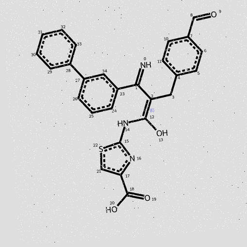 N=C(/C(Cc1ccc(C=O)cc1)=C(/O)Nc1nc(C(=O)O)cs1)c1cccc(-c2ccccc2)c1